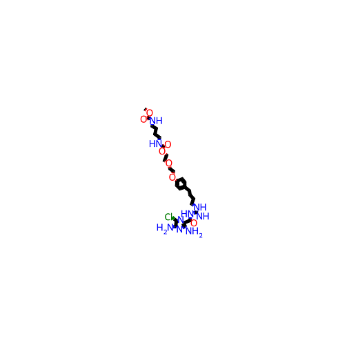 COC(=O)NCCCCNC(=O)OCCOCCOc1ccc(CCCCNC(=N)NC(=O)c2nc(Cl)c(N)nc2N)cc1